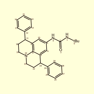 CC(C)(C)NC(=O)Nc1cc2c3c(c1)C(c1ccccc1)CCN3CCC2c1ccccc1